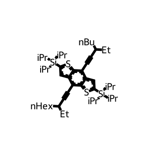 CCCCCCC(C#Cc1c2cc([Si](C(C)C)(C(C)C)C(C)C)sc2c(C#CC(CC)CCCC)c2cc([Si](C(C)C)(C(C)C)C(C)C)sc12)CC